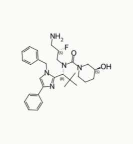 CC(C)(C)[C@H](c1nc(-c2ccccc2)cn1Cc1ccccc1)N(C[C@@H](F)CN)C(=O)N1CCC[C@H](O)C1